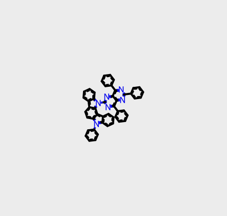 c1ccc(-c2nc(-c3ccccc3)c3nc(-n4c5ccccc5c5ccc6c(c7ccccc7n6-c6ccccc6)c54)nc(-c4ccccc4)c3n2)cc1